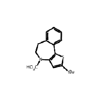 CC(C)(C)c1cc2c(s1)-c1ccccc1CCN2C(=O)O